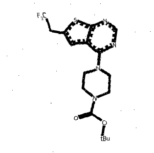 CC(C)(C)OC(=O)N1CCN(c2ncnc3sc(CC(F)(F)F)cc23)CC1